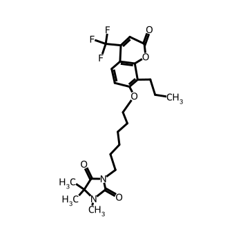 CCCc1c(OCCCCCCN2C(=O)N(C)C(C)(C)C2=O)ccc2c(C(F)(F)F)cc(=O)oc12